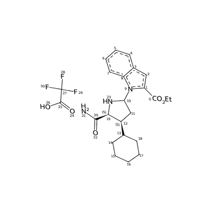 CCOC(=O)c1cc2ccccc2n1C1C[C@@H](C2CCCCC2)[C@@H](C(N)=O)N1.O=C(O)C(F)(F)F